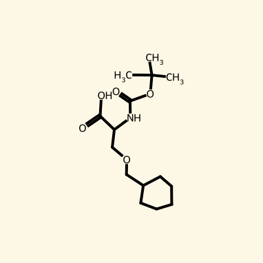 CC(C)(C)OC(=O)NC(COCC1CCCCC1)C(=O)O